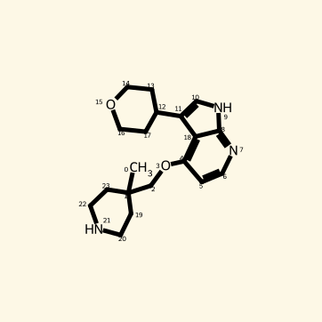 CC1(COc2ccnc3[nH]cc(C4CCOCC4)c23)CCNCC1